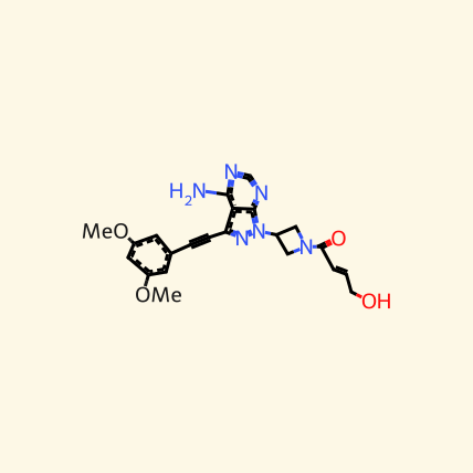 COc1cc(C#Cc2nn(C3CN(C(=O)/C=C/CO)C3)c3ncnc(N)c23)cc(OC)c1